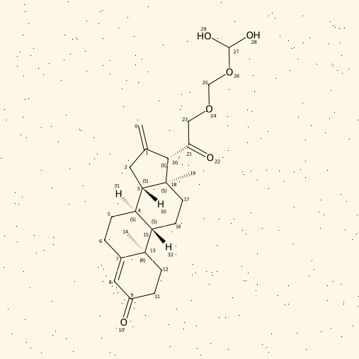 C=C1C[C@H]2[C@@H]3CCC4=CC(=O)CC[C@]4(C)[C@H]3CC[C@]2(C)[C@H]1C(=O)COCOC(O)O